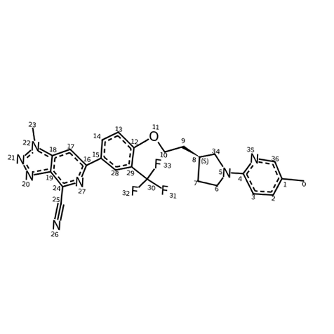 Cc1ccc(N2CC[C@@H](CCOc3ccc(-c4cc5c(nnn5C)c(C#N)n4)cc3C(F)(F)F)C2)nc1